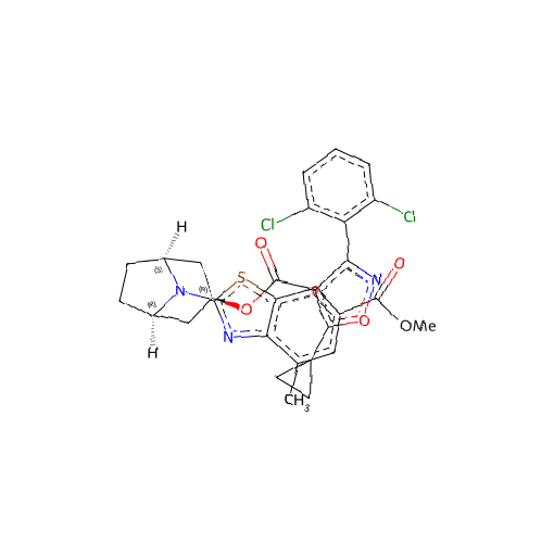 COC(=O)c1cc(C)c2nc(N3[C@@H]4CC[C@H]3C[C@@H](OC(=O)c3c(-c5c(Cl)cccc5Cl)noc3C3CC3)C4)sc2c1